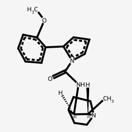 COc1ccccc1-c1cccn1C(=O)N[C@@H]1C2CCN(CC2)[C@H]1C